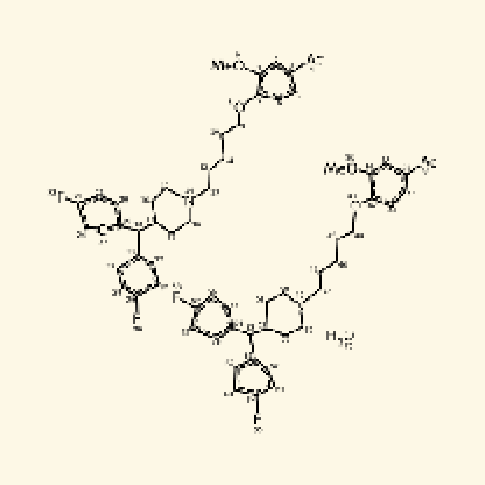 COc1cc(C(C)=O)ccc1OCCCCCN1CCC(C(c2ccc(F)cc2)c2ccc(F)cc2)CC1.COc1cc(C(C)=O)ccc1OCCCCCN1CCC(C(c2ccc(F)cc2)c2ccc(F)cc2)CC1.O